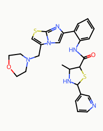 CC1NC(c2cccnc2)SC1C(=O)Nc1ccccc1-c1cn2c(CN3CCOCC3)csc2n1